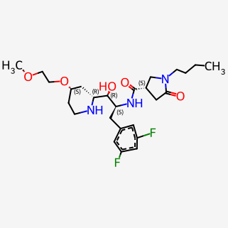 CCCCN1C[C@@H](C(=O)N[C@@H](Cc2cc(F)cc(F)c2)[C@H](O)[C@H]2C[C@@H](OCCOC)CCN2)CC1=O